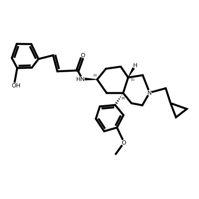 COc1cccc([C@@]23CCN(CC4CC4)C[C@H]2CC[C@H](NC(=O)C=Cc2cccc(O)c2)C3)c1